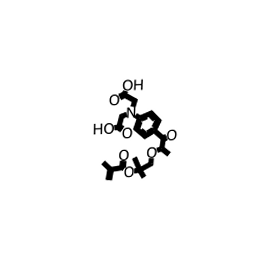 C=C(C)C(=O)OC(C)(C)COC(C)C(=O)c1ccc(N(CC(=O)O)CC(=O)O)cc1